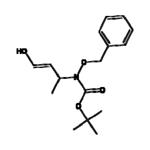 CC(C=CO)N(OCc1ccccc1)C(=O)OC(C)(C)C